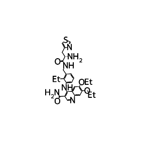 CCOc1cc2ncc(C(N)=O)c(Nc3cccc(CNC(=O)[C@@H](N)Cc4cscn4)c3CC)c2cc1OCC